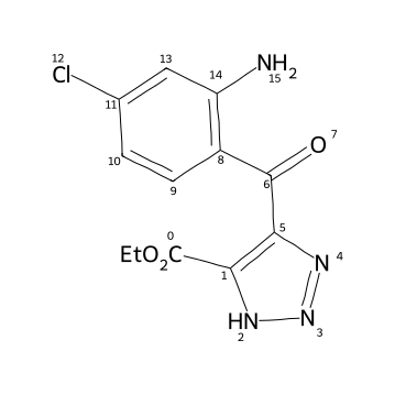 CCOC(=O)c1[nH]nnc1C(=O)c1ccc(Cl)cc1N